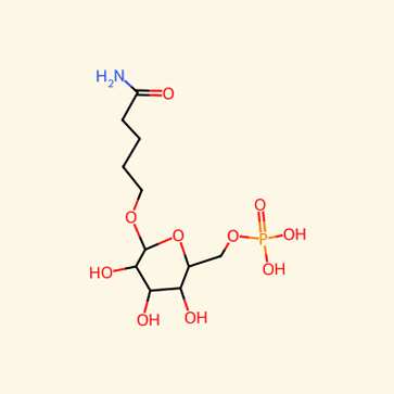 NC(=O)CCCCOC1OC(COP(=O)(O)O)C(O)C(O)C1O